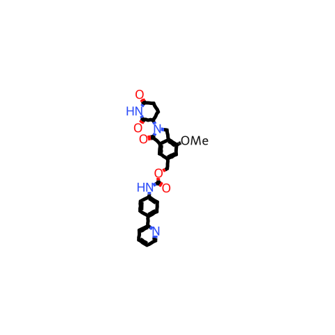 COc1cc(COC(=O)Nc2ccc(-c3ccccn3)cc2)cc2c1CN(C1CCC(=O)NC1=O)C2=O